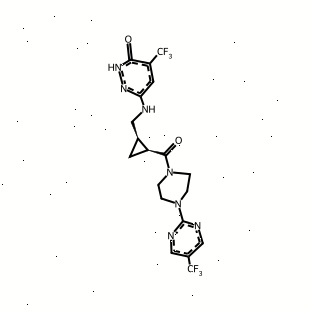 O=C([C@H]1C[C@H]1CNc1cc(C(F)(F)F)c(=O)[nH]n1)N1CCN(c2ncc(C(F)(F)F)cn2)CC1